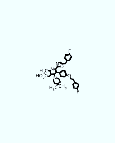 Cc1nc(-c2ncc(Cc3ccc(F)cc3)o2)c(-c2ccc(OCCc3ccc(F)cc3)cc2)c(N2CCC(C)(C)CC2)c1CC(=O)O